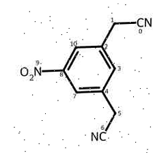 N#CCc1cc(CC#N)cc([N+](=O)[O-])c1